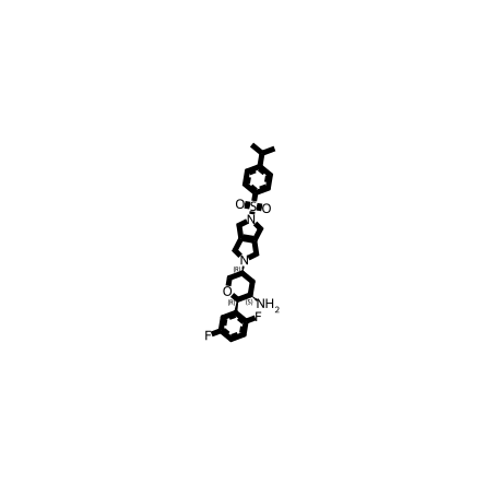 CC(C)c1ccc(S(=O)(=O)N2CC3=C(CN([C@H]4CO[C@H](c5cc(F)ccc5F)[C@@H](N)C4)C3)C2)cc1